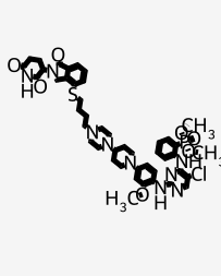 COc1cc(N2CCC(N3CCN(CCCCSc4cccc5c4CN(C4CCC(=O)NC4=O)C5=O)CC3)CC2)ccc1Nc1ncc(Cl)c(Nc2ccccc2P(=O)(OC)OC)n1